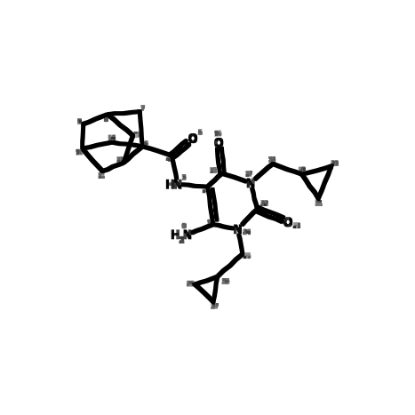 Nc1c(NC(=O)C23CC4CC(CC2C4)C3)c(=O)n(CC2CC2)c(=O)n1CC1CC1